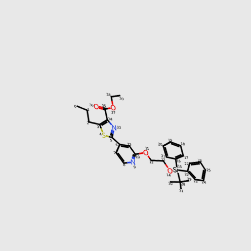 CCCc1sc(-c2ccnc(OCCO[Si](c3ccccc3)(c3ccccc3)C(C)(C)C)c2)nc1C(=O)OCC